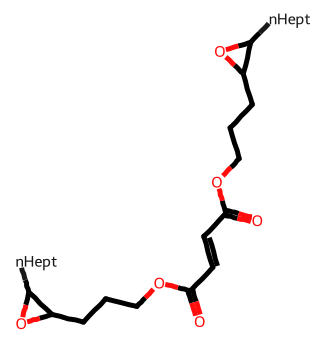 CCCCCCCC1OC1CCCOC(=O)C=CC(=O)OCCCC1OC1CCCCCCC